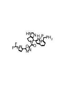 O=C(c1nnc(-c2ccn(C(F)F)n2)o1)N1CCc2[nH]cnc2[C@H]1c1cc2cccc(C(P)P)n2n1